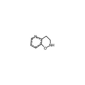 c1cnc2c(c1)ONCC2